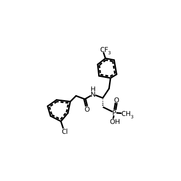 CP(=O)(O)C[C@@H](Cc1ccc(C(F)(F)F)cc1)NC(=O)Cc1cccc(Cl)c1